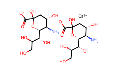 N[C@H]1[C@H]([C@H](O)[C@H](O)CO)OC(O)(C(=O)[O-])C[C@@H]1O.N[C@H]1[C@H]([C@H](O)[C@H](O)CO)OC(O)(C(=O)[O-])C[C@@H]1O.[Ca+2]